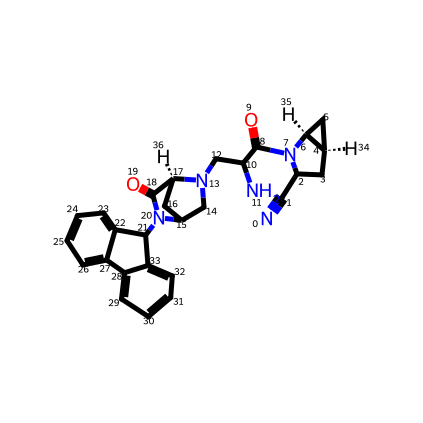 N#CC1C[C@@H]2C[C@@H]2N1C(=O)C(N)CN1CC2C[C@H]1C(=O)N2C1c2ccccc2-c2ccccc21